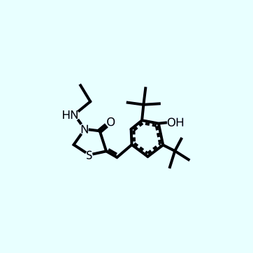 CCNN1CSC(=Cc2cc(C(C)(C)C)c(O)c(C(C)(C)C)c2)C1=O